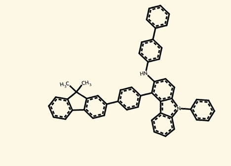 CC1(C)c2ccccc2-c2ccc(-c3ccc(-c4c(Nc5ccc(-c6ccccc6)cc5)ccc5c4c4ccccc4n5-c4ccccc4)cc3)cc21